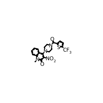 Cn1c(=O)c([N+](=O)[O-])c(N2CCN(C(=O)c3ccc(C(F)(F)F)s3)CC2)c2ccccc21